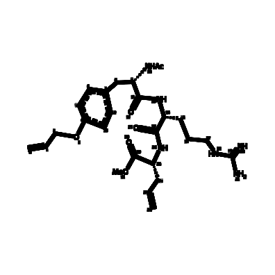 C=CCOc1ccc(C[C@H](NC(C)=O)C(=O)N[C@H](CCCNC(=N)N)C(=O)N[C@H](CC=C)C(=O)OC)cc1